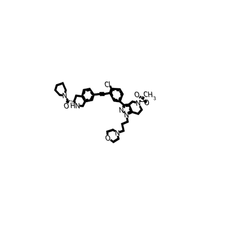 CS(=O)(=O)N1CCc2c(c(-c3ccc(Cl)c(C#Cc4ccc5c(c4)CN[C@H](C(=O)N4CCCCC4)C5)c3)nn2CCCN2CCOCC2)C1